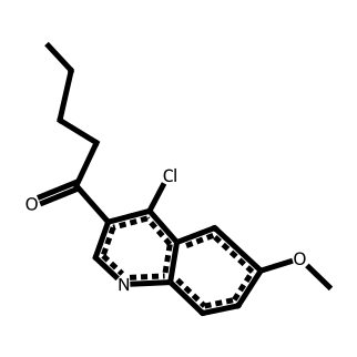 CCCCC(=O)c1cnc2ccc(OC)cc2c1Cl